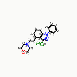 Cl.c1ccc(-n2ncc3c2CCCC3CCN2CCOCC2)cc1